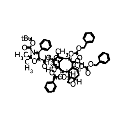 CC(=O)O[C@@]12CO[C@@H]1C[C@H](OC(=O)OCc1ccccc1)[C@@]1(C)C(=O)[C@H](OC(=O)OCc3ccccc3)C3=C(C)C(OC(=O)[C@H]4OC(C)(C)N(C(=O)OC(C)(C)C)[C@H]4c4ccccc4)C[C@@](O)([C@@H](OC(=O)c4ccccc4)[C@H]21)C3(C)C